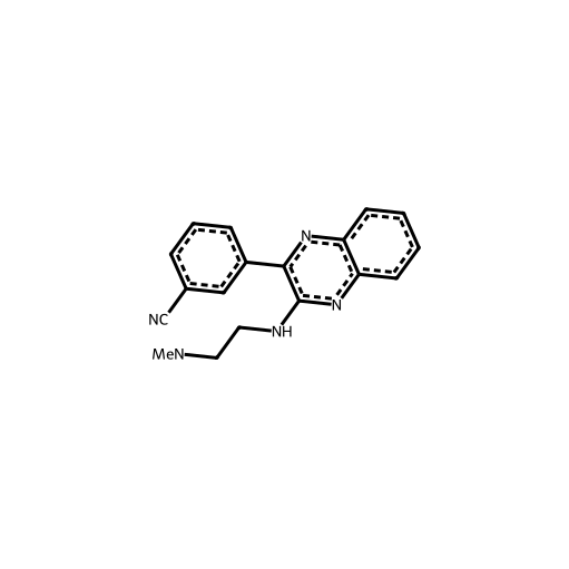 CNCCNc1nc2ccccc2nc1-c1cccc(C#N)c1